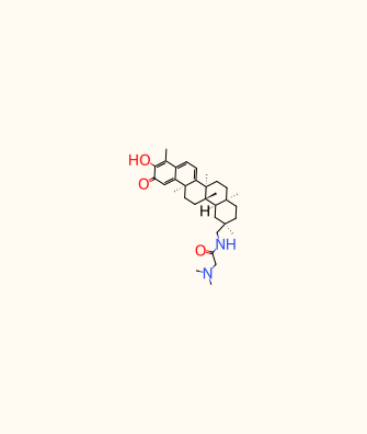 CC1=C(O)C(=O)C=C2C1=CC=C1[C@@]2(C)CC[C@@]2(C)[C@@H]3C[C@](C)(CNC(=O)CN(C)C)CC[C@]3(C)CC[C@]12C